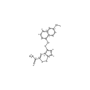 COc1ccc2c(OCc3nnc4n3C=C(C(N)=O)CC4)ccnc2c1